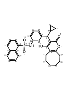 O=c1oc2c(c(O)c1C(c1cccc(NS(=O)(=O)c3cccc4ccccc34)c1)C1CC1)CCCCCC2